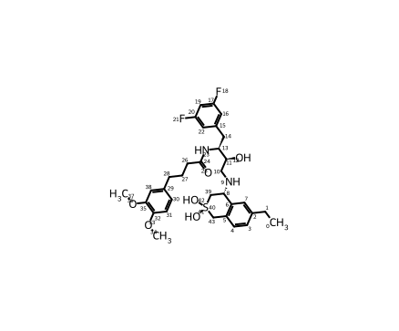 CCc1ccc2c(c1)[C@@H](NC[C@H](O)[C@H](Cc1cc(F)cc(F)c1)NC(=O)CCCc1ccc(OC)c(OC)c1)CS(O)(O)C2